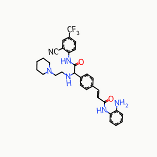 N#Cc1cc(C(F)(F)F)ccc1NC(=O)C(NCCN1CCCCC1)c1ccc(C=CC(=O)Nc2ccccc2N)cc1